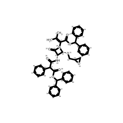 CC(C)=C(C(=O)OC(c1ccccc1)c1ccccc1)N1C(=O)[C@@H](NC(=O)C(C(=O)OC(c2ccccc2)c2ccccc2)c2ccccc2)[C@H]1OCC1CO1